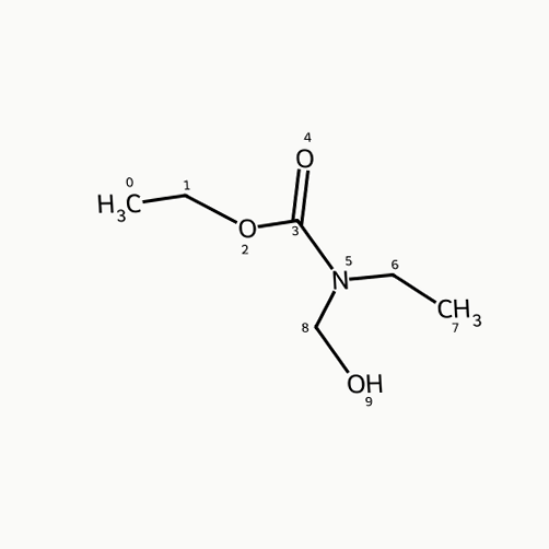 CCOC(=O)N(CC)CO